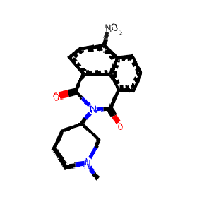 CN1CCCC(N2C(=O)c3cccc4c([N+](=O)[O-])ccc(c34)C2=O)C1